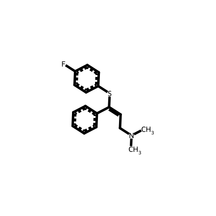 CN(C)CC=C(Sc1ccc(F)cc1)c1ccccc1